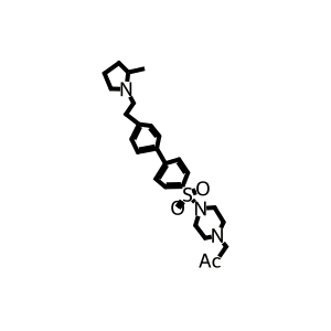 CC(=O)CN1CCN(S(=O)(=O)c2ccc(-c3ccc(CCN4CCCC4C)cc3)cc2)CC1